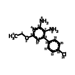 CCOc1nc(N)c(N)c(-c2ccc(Cl)cc2)n1